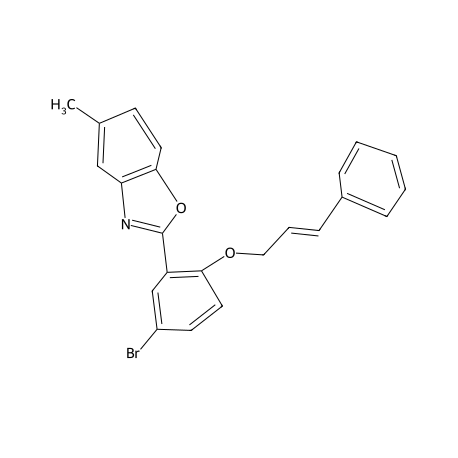 Cc1ccc2oc(-c3cc(Br)ccc3OCC=Cc3ccccc3)nc2c1